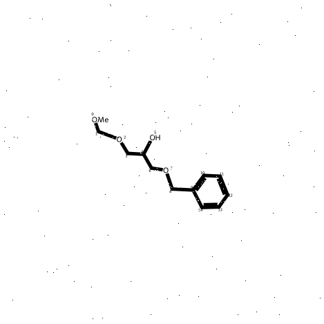 COCOCC(O)COCc1ccccc1